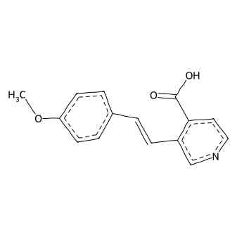 COc1ccc(/C=C/c2cnccc2C(=O)O)cc1